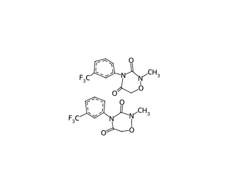 CN1OCC(=O)N(c2cccc(C(F)(F)F)c2)C1=O.CN1OCC(=O)N(c2cccc(C(F)(F)F)c2)C1=O